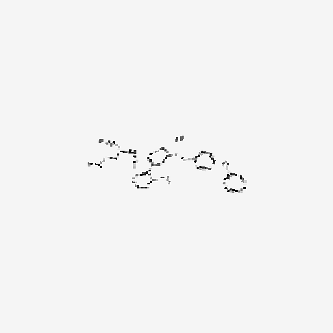 CSCCC(NC(=O)c1ccc(CCc2ccc(Oc3ccccc3)cc2)cc1-c1ccccc1C)C(=O)O.[LiH]